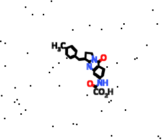 Cc1ccc(/C=C2\CCn3c2nc2cc(NC(=O)C(=O)O)ccc2c3=O)cc1